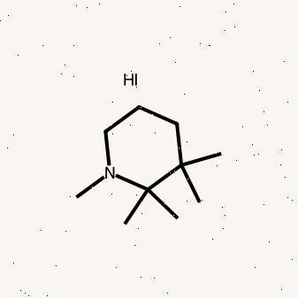 CN1CCCC(C)(C)C1(C)C.I